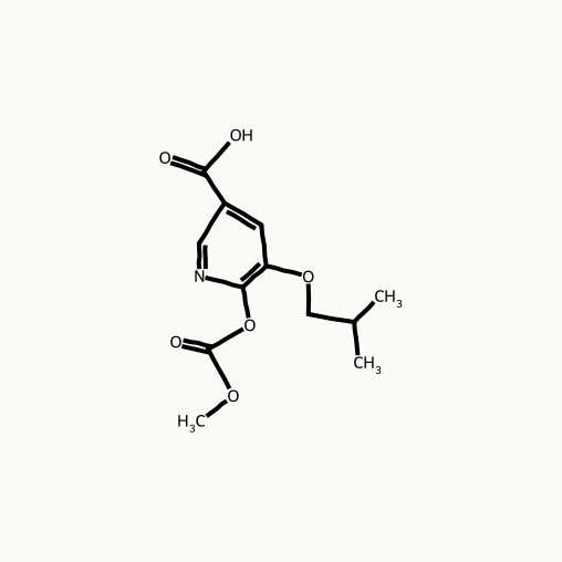 COC(=O)Oc1ncc(C(=O)O)cc1OCC(C)C